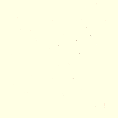 CC(Oc1ccc(O)cc1)C(=O)N(C)c1ccccc1F.CC(Oc1ccc(Oc2nc3ccc(Cl)cc3o2)cc1)C(=O)N(C)c1ccccc1F